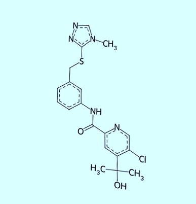 Cn1cnnc1SCc1cccc(NC(=O)c2cc(C(C)(C)O)c(Cl)cn2)c1